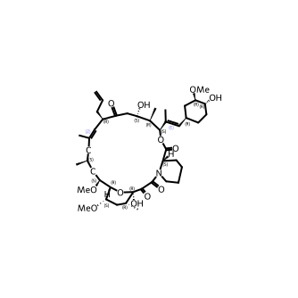 C=CC[C@@H]1/C=C(/C)C[C@H](C)C[C@H](OC)[C@H]2O[C@@](O)(C(=O)C(=O)N3CCCC[C@H]3C(=O)O[C@H](/C(C)=C/[C@@H]3CC[C@@H](O)[C@H](OC)C3)[C@H](C)[C@@H](O)CC1=O)[C@H](C)C[C@@H]2OC